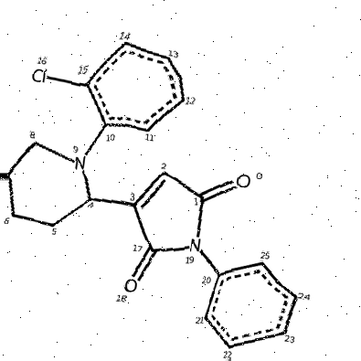 O=C1C=C(C2CCCCN2c2ccccc2Cl)C(=O)N1c1ccccc1